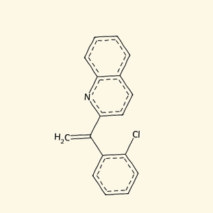 C=C(c1ccc2ccccc2n1)c1ccccc1Cl